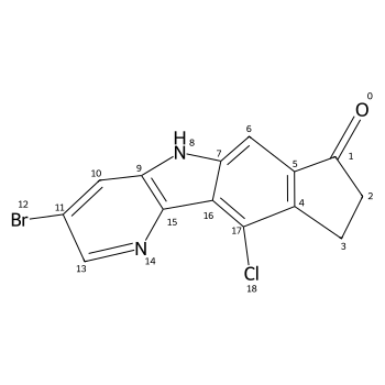 O=C1CCc2c1cc1[nH]c3cc(Br)cnc3c1c2Cl